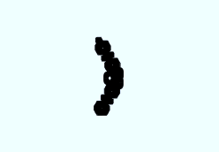 Cc1ccc(C(C)(C)c2ccc(OC(=O)Oc3ccc(C(C)(C)c4ccccc4)cc3)cc2)cc1